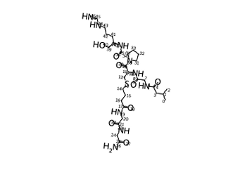 CC(C)CC(=O)NCC(=O)N[C@@H](CSCCCC(=O)NCC(=O)NCC(N)=O)C(=O)N1CCC[C@H]1C(=O)N[C@@H](CO)CCCNC=N